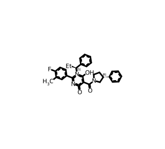 CC[C@@H](c1ccccc1)n1c(-c2ccc(F)c(C)c2)nc(=O)c(C(=O)N2CC[C@H](c3ccccc3)C2)c1O